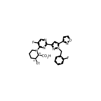 CC[C@H]1CCCN(c2nc(-c3cc(-c4ccon4)n(Cc4ccccc4F)n3)ncc2F)[C@H]1C(=O)O